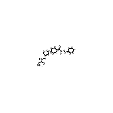 NCC(=O)NCc1cccc(C2C=CC(C(=O)NCCc3ccccc3)=CC2)c1